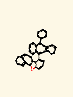 C1=CC2Oc3c(ccc4ccccc34)C2C(c2c3ccccc3c(-c3ccccc3)c3ccccc23)=C1